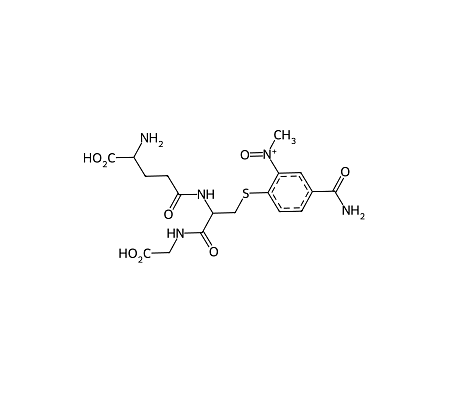 C[N+](=O)c1cc(C(N)=O)ccc1SCC(NC(=O)CCC(N)C(=O)O)C(=O)NCC(=O)O